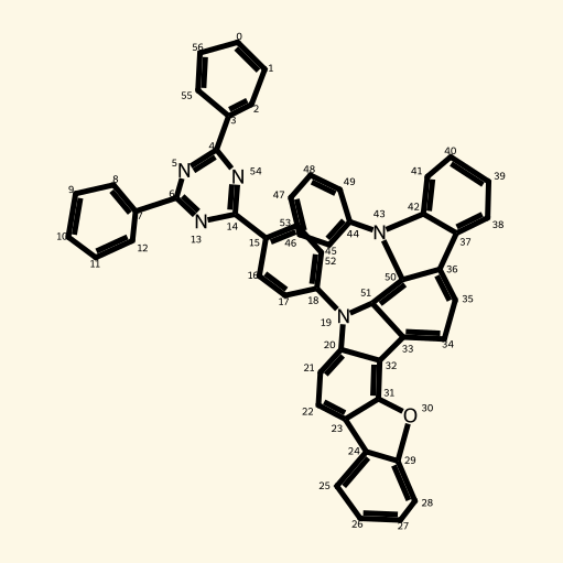 c1ccc(-c2nc(-c3ccccc3)nc(-c3ccc(-n4c5ccc6c7ccccc7oc6c5c5ccc6c7ccccc7n(-c7ccccc7)c6c54)cc3)n2)cc1